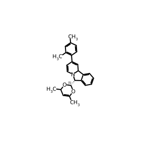 CC1=CC(C)O[C@H](C2c3ccccc3C3C=C(c4ccc(C)cc4C)C=CN32)O1